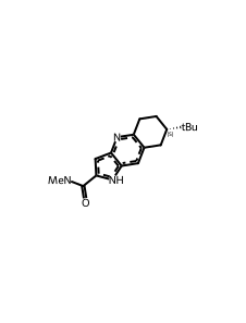 CNC(=O)c1cc2nc3c(cc2[nH]1)C[C@@H](C(C)(C)C)CC3